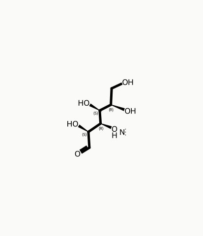 O=C[C@@H](O)[C@H](O)[C@@H](O)[C@H](O)CO.[N]